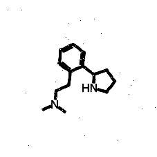 CN(C)CCc1ccccc1C1CCCN1